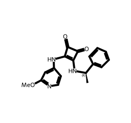 COc1cc(Nc2c(N[C@H](C)c3ccccc3)c(=O)c2=O)ccn1